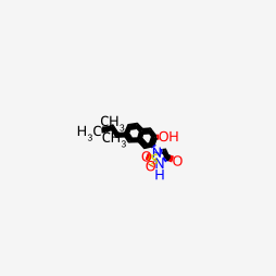 CC(C)(C)CCc1ccc2cc(O)c(N3CC(=O)NS3(=O)=O)cc2c1